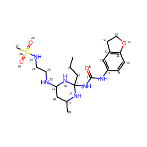 CCCC1(NC(=O)Nc2ccc3c(c2)CCO3)NC(C)CC(NCCNS(C)(=O)=O)N1